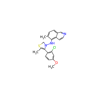 COc1ccc(C2=C(C)SCN2Nc2c(C)ccc3cnccc23)c(Cl)c1